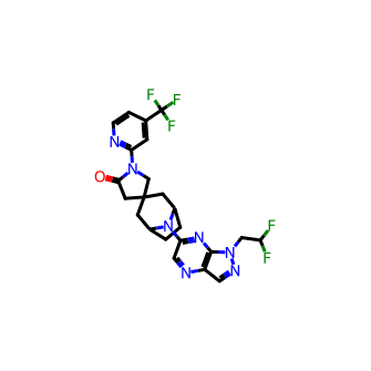 O=C1CC2(CC3CCC(C2)N3c2cnc3cnn(CC(F)F)c3n2)CN1c1cc(C(F)(F)F)ccn1